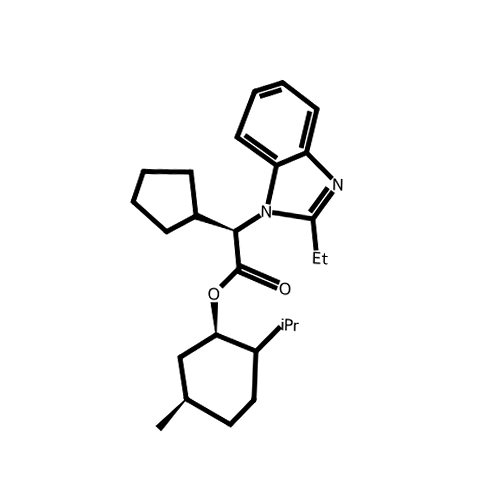 CCc1nc2ccccc2n1[C@@H](C(=O)O[C@@H]1C[C@H](C)CCC1C(C)C)C1CCCC1